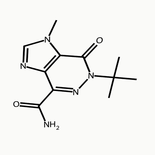 Cn1cnc2c(C(N)=O)nn(C(C)(C)C)c(=O)c21